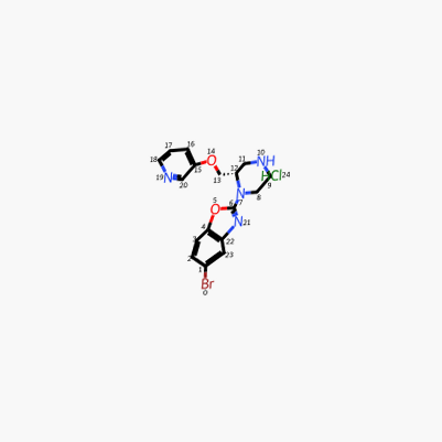 Brc1ccc2oc(N3CCNC[C@H]3COc3cccnc3)nc2c1.Cl